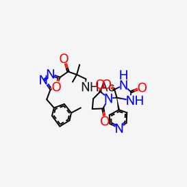 CC(=O)NCC(C)(C)C(=O)c1nnc(Cc2cccc(C)c2)o1.O=C1NC(=O)[C@@](c2ccncc2)(N2C(=O)CCC2=O)N1